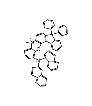 C[Si]1(C)c2cccc(N(c3ccc4ccccc4c3)c3cccc4ccccc34)c2Oc2c1ccc1c2-c2ccccc2C1(c1ccccc1)c1ccccc1